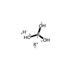 OB(O)O.[H-].[K+]